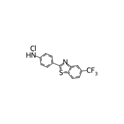 FC(F)(F)c1ccc2sc(-c3ccc(NCl)cc3)nc2c1